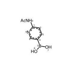 CC(=O)Nc1ccc(B(O)O)cn1